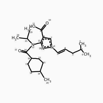 CC(C)CC=Cn1cc(C(=O)O)c(N(C(=O)C2CCC(C)CC2)C(C)C)n1